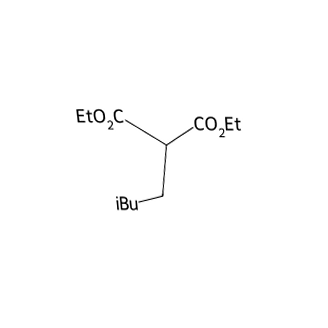 CCOC(=O)C(CC(C)CC)C(=O)OCC